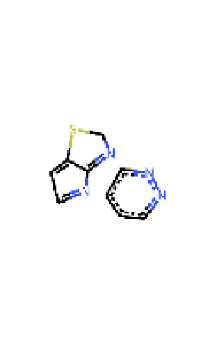 C1=NC2=NCSC2=C1.c1ccnnc1